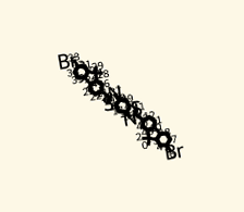 CC1(C)c2cc(Br)ccc2-c2ccc(-c3nc4cc5sc(-c6ccc7c(c6)C(C)(C)c6cc(Br)ccc6-7)nc5cc4s3)cc21